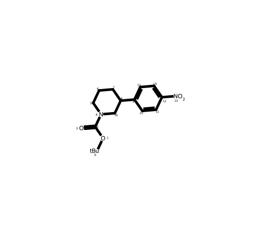 CC(C)(C)OC(=O)N1CCCC(c2ccc([N+](=O)[O-])cc2)C1